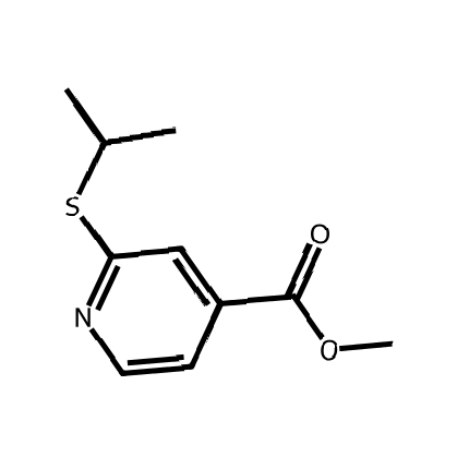 COC(=O)c1ccnc(SC(C)C)c1